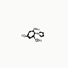 CC(C)(C)c1cc(O)cc(C(C)(C)C)c1-n1cccc1